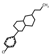 CCCC1CCC2CC(c3ccc(Cl)cc3)CCC2C1